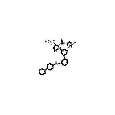 CC(Oc1cccc(-c2cccc(-n3ncc(C(=O)O)c3[C@@H]3C[C@@H]3c3cn(C)nn3)c2)c1)c1ccc(-c2ccccc2)cc1